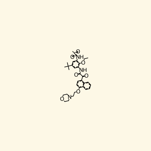 CCOc1c(NC(=O)C(=O)c2ccc(OCCN3CCOCC3)c3ccccc23)cc(C(C)(C)C)cc1NS(C)(=O)=O